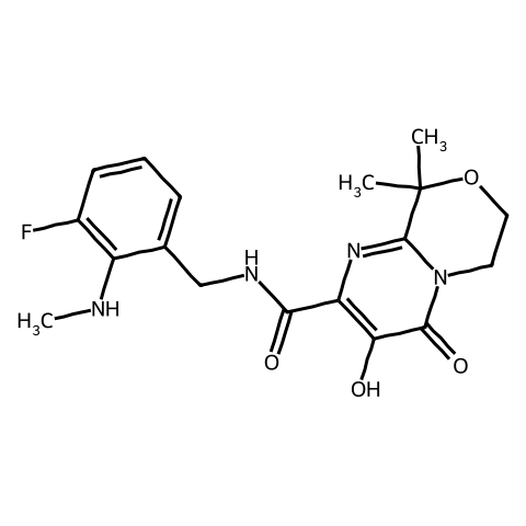 CNc1c(F)cccc1CNC(=O)c1nc2n(c(=O)c1O)CCOC2(C)C